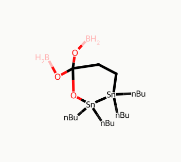 BOC1(OB)C[CH2][Sn]([CH2]CCC)([CH2]CCC)[Sn]([CH2]CCC)([CH2]CCC)[O]1